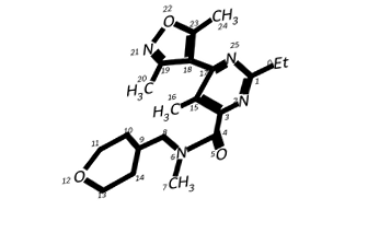 CCc1nc(C(=O)N(C)CC2CCOCC2)c(C)c(-c2c(C)noc2C)n1